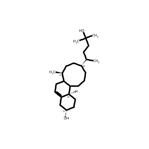 CC(CCC(C)(C)O)[C@@H]1CCCC2C(CC=C3C[C@@H](O)CC[C@@H]32)[C@@H](C)CC1